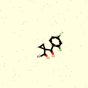 CC(C)C(=O)C1(C(=O)c2ccc(F)cc2F)CC1